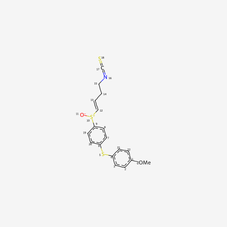 COc1ccc(Sc2ccc([S+]([O-])/C=C/CCN=C=S)cc2)cc1